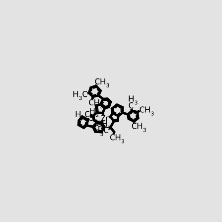 CCC(C)C1=Cc2c(-c3cc(C)cc(C)c3C)cccc2[CH]1[Zr]([c]1cccc2c1[SiH2]c1ccccc1-2)[CH]1C(C(C)CC)=Cc2c(-c3cc(C)cc(C)c3C)cccc21